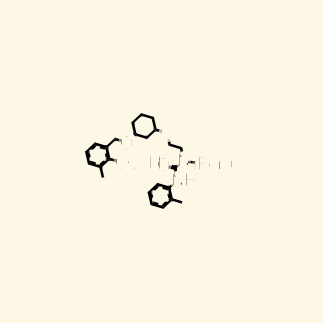 CCCC(C)N(CCOC1CCCC(OCc2cccc(C)c2C(=O)O)C1)C(=O)Nc1ccccc1C